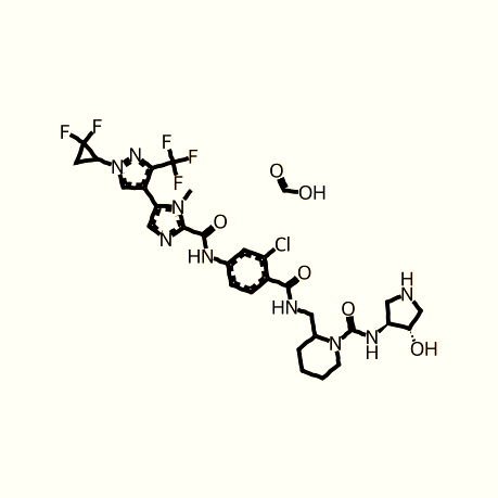 Cn1c(-c2cn(C3CC3(F)F)nc2C(F)(F)F)cnc1C(=O)Nc1ccc(C(=O)NCC2CCCCN2C(=O)N[C@H]2CNC[C@@H]2O)c(Cl)c1.O=CO